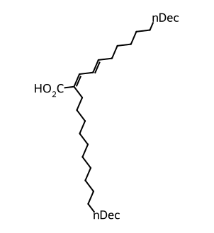 CCCCCCCCCCCCCCCC=CC=C(CCCCCCCCCCCCCCCCCCCC)C(=O)O